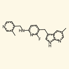 Cc1cnc2[nH]cc(Cc3ccc(NCc4ccncc4C)nc3F)c2c1